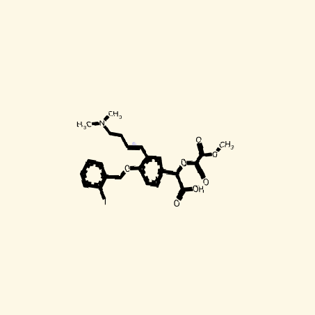 COC(=O)C(=O)OC(C(=O)O)c1ccc(OCc2ccccc2I)c(/C=C/CCN(C)C)c1